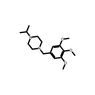 COc1cc(CN2CCN(C(C)C)CC2)cc(OC)c1OC